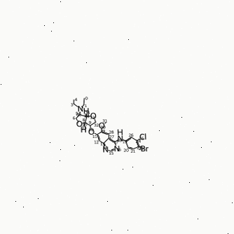 CCN(CC)[C@@H]1CO[C@H]2C(Oc3cc4ncnc(Nc5ccc(Br)c(Cl)c5)c4cc3OC)CO[C@@H]12